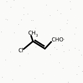 C/C(Cl)=C\[C]=O